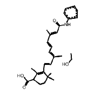 CC(C=CC1=C(C)C(C(=O)O)CCC1(C)C)=CC=CC(C)=CC(=O)Nc1ccccc1.CCO